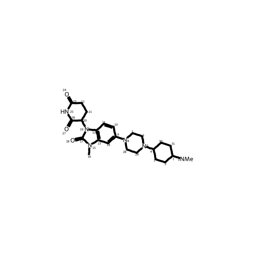 CNC1CCC(N2CCN(c3ccc4c(c3)n(C)c(=O)n4C3CCC(=O)NC3=O)CC2)CC1